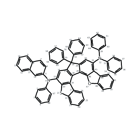 c1ccc(N(c2ccc3ccccc3c2)c2cc3c(c4c2sc2ccccc24)-c2c(cc(N(c4ccccc4)c4ccccc4)c4c2oc2ccccc24)C3(c2ccccc2)c2ccccc2)cc1